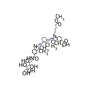 CCOC(=O)CCCCCN1/C(=C/C=C2\CCCC(/C=C/C3=Nc4ccc(C(=O)NCC(O)C(O)C(O)C(O)CO)cc4C3(C)C)=C2Cl)C(C)(C)c2cc(C(=O)O)ccc21